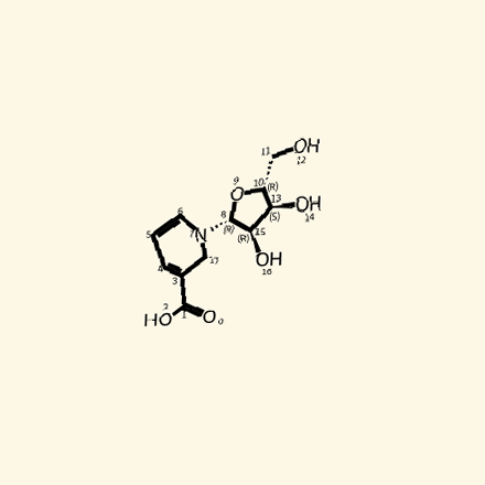 O=C(O)C1=CC=CN([C@@H]2O[C@H](CO)[C@@H](O)[C@H]2O)C1